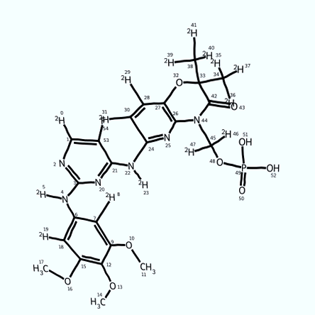 [2H]c1nc(N([2H])c2c([2H])c(OC)c(OC)c(OC)c2[2H])nc(N([2H])c2nc3c(c([2H])c2[2H])OC(C([2H])([2H])[2H])(C([2H])([2H])[2H])C(=O)N3C([2H])([2H])OP(=O)(O)O)c1F